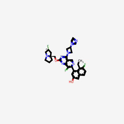 CCc1c(F)ccc2cc(O)cc(-c3ncc4c(N5CC(n6ccnc6)C5)nc(OC[C@@]56CCCN5C[C@H](F)C6)nc4c3F)c12